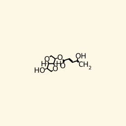 C=C(O)C=CC(=O)O[C@@H]1CO[C@H]2[C@@H]1OC[C@H]2O